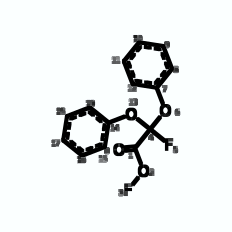 O=C(OF)C(F)(Oc1ccccc1)Oc1ccccc1